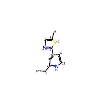 CCc1cc(-c2n[c]c(C)s2)ccn1